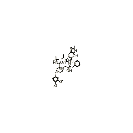 COc1ccc(CN2CCN(C[C@H](O)[C@H](Cc3ccccc3)NC(=O)[C@H](C(C)C)N(Cc3cnc(C)s3)C(=O)O)[C@H](C(=O)NC(C)(C)C)C2)cc1OC